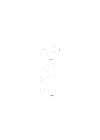 c1cc(Nc2ccc3c(c2)C2(c4ccccc4O3)c3ccccc3-c3ccccc32)cc(-c2cccc3sc4ccccc4c23)c1